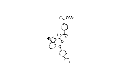 COC(=O)c1ccc(C2(NC(=O)c3c[nH]c4cccc(Oc5ccc(C(F)(F)F)cc5)c34)CC2)cc1